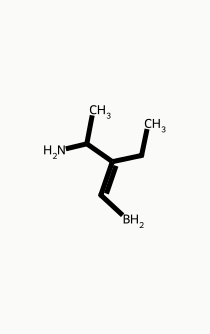 B/C=C(\CC)C(C)N